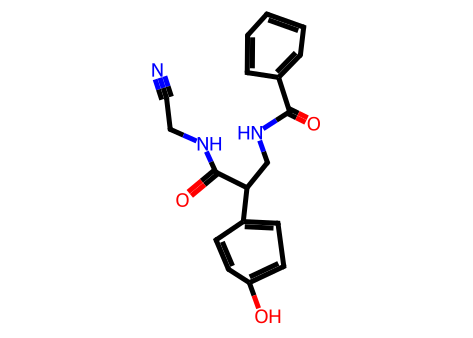 N#CCNC(=O)C(CNC(=O)c1ccccc1)c1ccc(O)cc1